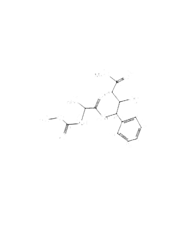 CCCCC(NC(=O)OC(C)(C)C)C(=O)NC(c1ccccc1)C(O)CC(=O)OC